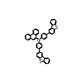 c1ccc2c(c1)cc(N(c1ccc(-c3ccc4sc5ccccc5c4c3)cc1)c1ccc(-c3ccc4sc5ccccc5c4c3)cc1)c1ccccc12